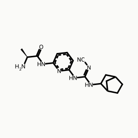 C[C@H](N)C(=O)Nc1cccc(NC(=NC#N)NC2CC3CCC2C3)n1